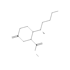 C=C1CCC([C@H](C)CCCC)C(C(=O)OC)C1